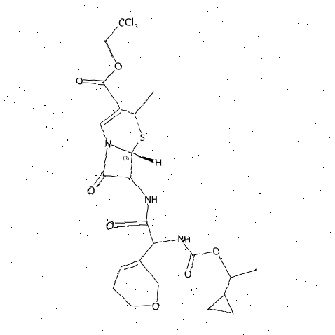 CC1S[C@@H]2C(NC(=O)C(NC(=O)OC(C)C3CC3)C3=CCCOC3)C(=O)N2C=C1C(=O)OCC(Cl)(Cl)Cl